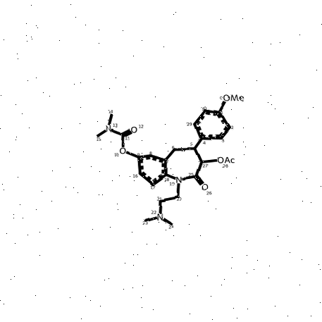 COc1ccc(C2Cc3cc(OC(=O)N(C)C)ccc3N(CCN(C)C)C(=O)C2OC(C)=O)cc1